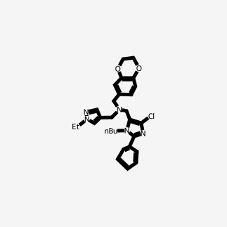 CCCCn1c(-c2ccccc2)nc(Cl)c1CN(Cc1ccc2c(c1)OCCO2)Cc1cnn(CC)c1